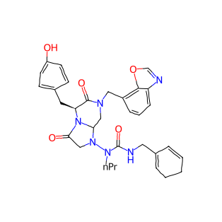 CCCN(C(=O)NCC1=CCCC=C1)N1CC(=O)N2C1CN(Cc1cccc3ncoc13)C(=O)[C@@H]2Cc1ccc(O)cc1